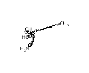 CCCCCCCCCCCCCCCCCCOc1cc(OCCCOc2ccc(N)cc2)cc(N(CC(=O)O)CC(=O)O)c1